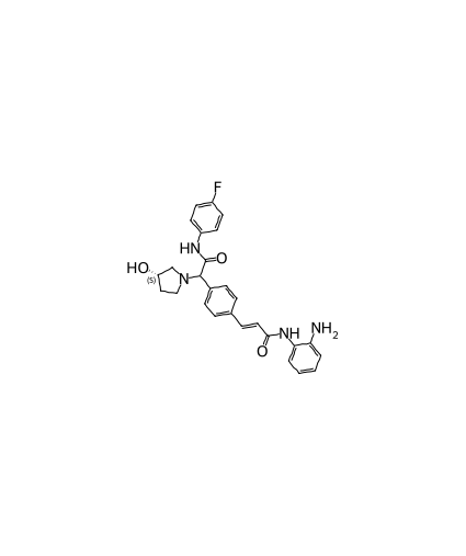 Nc1ccccc1NC(=O)C=Cc1ccc(C(C(=O)Nc2ccc(F)cc2)N2CC[C@H](O)C2)cc1